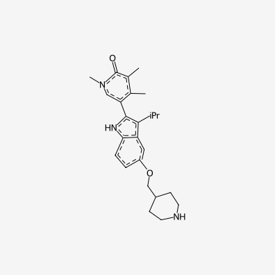 Cc1c(-c2[nH]c3ccc(OCC4CCNCC4)cc3c2C(C)C)cn(C)c(=O)c1C